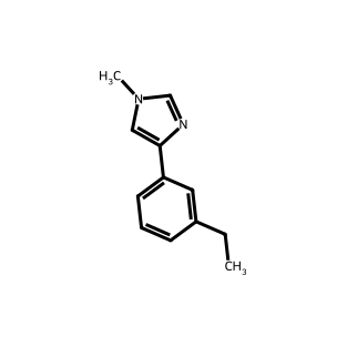 CCc1cccc(-c2cn(C)cn2)c1